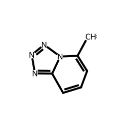 [CH]c1cccc2nnnn12